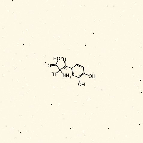 [2H][C@@H](c1ccc(O)c(O)c1)C([2H])(N)C(=O)O